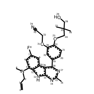 C=CCN(C)c1cc(F)cc2c1[nH]c1nc(C)nc(-c3ccc(OCC(C)(C)CO)c(OCC#N)c3)c12